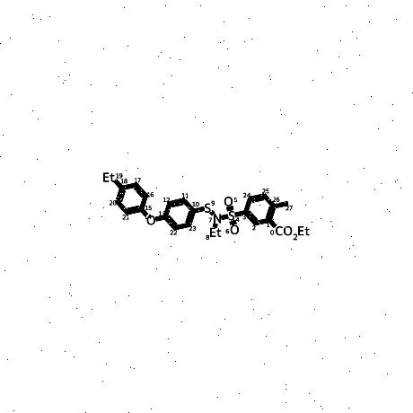 CCOC(=O)c1cc(S(=O)(=O)N(CC)Sc2ccc(Oc3ccc(CC)cc3)cc2)ccc1C